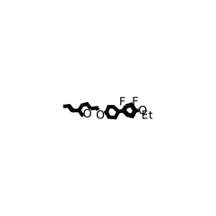 C/C=C/C1CCC(COC2CCC(c3ccc(OCC)c(F)c3F)CC2)OC1